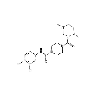 CN1CCN(C)C(C(=O)N2CCN(C(=O)Nc3ccc(Cl)c(Cl)c3)CC2)C1